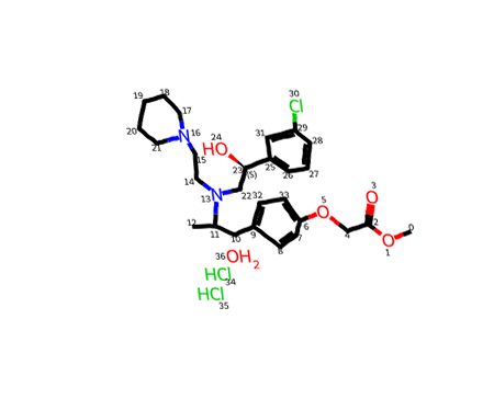 COC(=O)COc1ccc(CC(C)N(CCN2CCCCC2)C[C@@H](O)c2cccc(Cl)c2)cc1.Cl.Cl.O